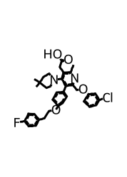 Cc1nc(COc2cccc(Cl)c2)c(-c2ccc(OCCc3ccc(F)cc3)cc2)c(N2CCC(C)(C)CC2)c1CC(=O)O